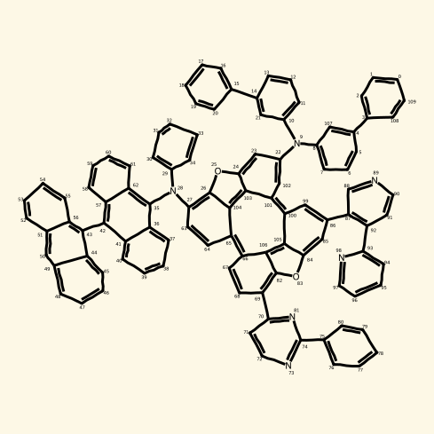 c1ccc(-c2cccc(N(c3cccc(-c4ccccc4)c3)c3cc4oc5c(N(c6ccccc6)c6c7ccccc7c(-c7c8ccccc8cc8ccccc78)c7ccccc67)ccc6c7ccc(-c8ccnc(-c9ccccc9)n8)c8oc9cc(-c%10cnccc%10-c%10ccccn%10)cc(c(c3)c4c56)c9c87)c2)cc1